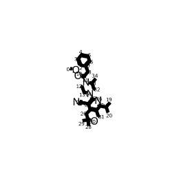 COc1ccccc1CC(=O)N1CCN(c2nc(C(C)C)c3c(c2C#N)CC(C)(C)OC3)CC1C